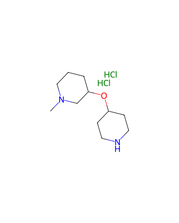 CN1CCCC(OC2CCNCC2)C1.Cl.Cl